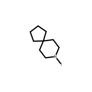 IN1CCC2(CCCC2)CC1